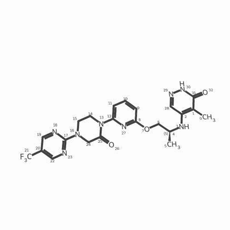 Cc1c(N[C@@H](C)COc2cccc(N3CCN(c4ncc(C(F)(F)F)cn4)CC3=O)n2)cn[nH]c1=O